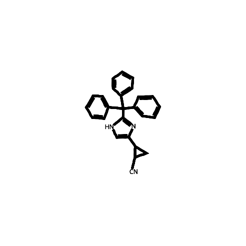 N#CC1CC1c1c[nH]c(C(c2ccccc2)(c2ccccc2)c2ccccc2)n1